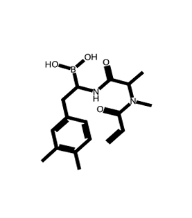 C=CC(=O)N(C)C(C)C(=O)NC(Cc1ccc(C)c(C)c1)B(O)O